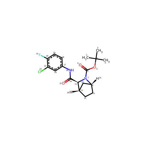 CC(C)(C)OC(=O)N1[C@@H]2CC[C@@H](C2)[C@H]1C(=O)Nc1ccc(F)c(Cl)c1